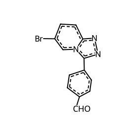 O=Cc1ccc(-c2nnc3ccc(Br)cn23)cc1